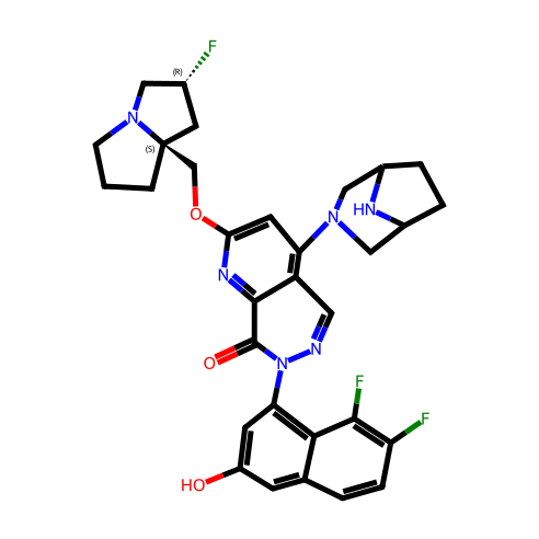 O=c1c2nc(OC[C@@]34CCCN3C[C@H](F)C4)cc(N3CC4CCC(C3)N4)c2cnn1-c1cc(O)cc2ccc(F)c(F)c12